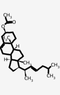 CC(=O)O[C@H]1CC[C@@]2(C)C(=CCC3[C@@H]4CC[C@H]([C@H](C)/C=C/CC(C)C)[C@@]4(C)CC[C@@H]32)C1